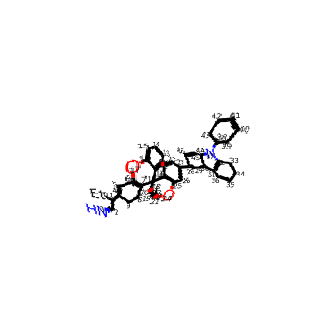 CCC(C=N)C1=CC2=C(CC1)C1(c3ccccc3O2)c2ccccc2Oc2cc(C3=CC4C5=C(CCC=C5)N(C5CC=CCC5)C4C=C3)ccc21